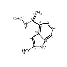 C=C(NC=O)c1cccc2[nH]c(O)cc12